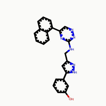 Oc1cccc(-c2cc(CNc3nncc(-c4cccc5ccccc45)n3)n[nH]2)c1